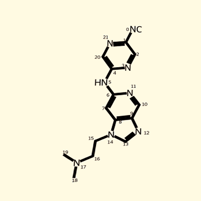 [C-]#[N+]c1cnc(Nc2cc3c(cn2)ncn3CCN(C)C)cn1